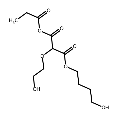 CCC(=O)OC(=O)C(OCCO)C(=O)OCCCCO